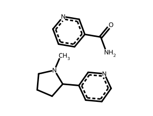 CN1CCCC1c1cccnc1.NC(=O)c1cccnc1